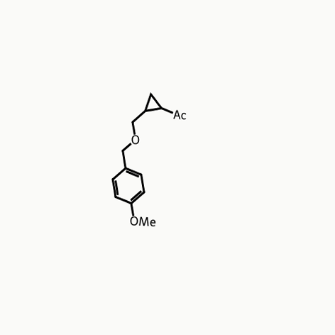 COc1ccc(COCC2CC2C(C)=O)cc1